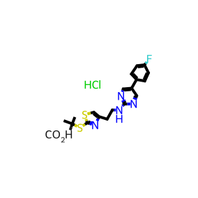 CC(C)(Sc1nc(CCNc2ncc(-c3ccc(F)cc3)cn2)cs1)C(=O)O.Cl